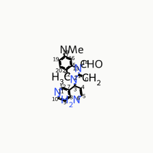 C=C(/N=C(\C=C/N)c1cccnc1)N(C=O)c1cc(NC)ccc1C